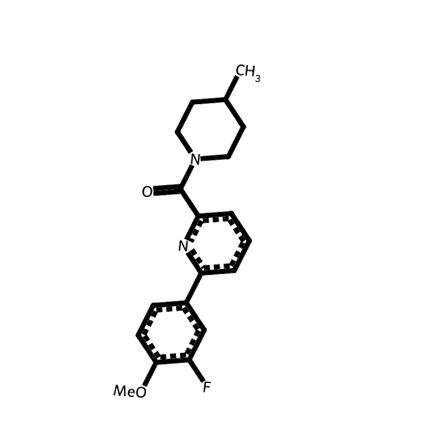 COc1ccc(-c2cccc(C(=O)N3CCC(C)CC3)n2)cc1F